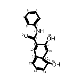 O=C(Nc1ccccc1)c1cc2cccc(O)c2cc1O